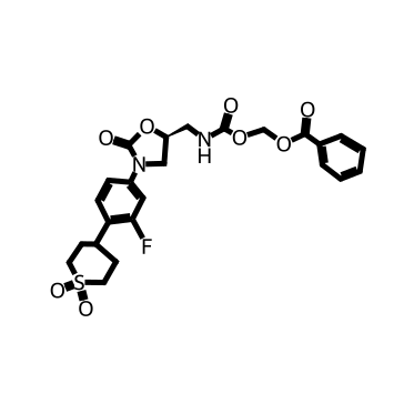 O=C(NC[C@H]1CN(c2ccc(C3CCS(=O)(=O)CC3)c(F)c2)C(=O)O1)OCOC(=O)c1ccccc1